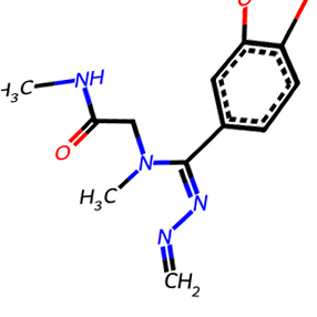 C=N/N=C(/c1ccc2c(c1)OCO2)N(C)CC(=O)NC